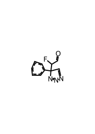 O=CC(F)C1(c2ccccc2)C=NN=N1